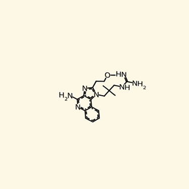 COCCc1nc2c(N)nc3ccccc3c2n1CC(C)(C)CNC(=N)N